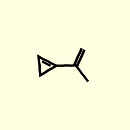 C=C(C)C1=CC1